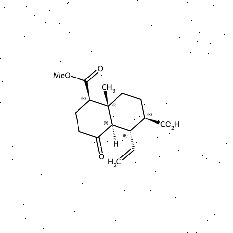 C=C[C@@H]1[C@H]2C(=O)CC[C@@H](C(=O)OC)[C@]2(C)CC[C@H]1C(=O)O